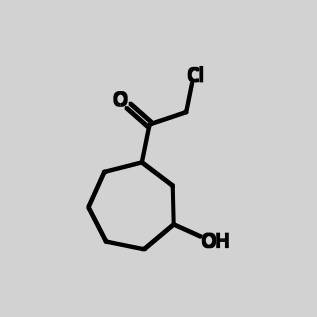 O=C(CCl)C1CCCCC(O)C1